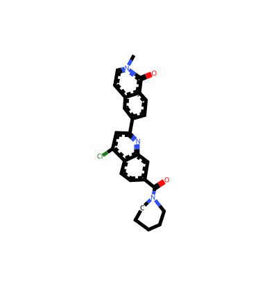 Cn1ccc2cc(-c3cc(Cl)c4ccc(C(=O)N5CCCCC5)cc4n3)ccc2c1=O